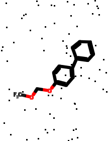 FC(F)(F)OCOc1ccc(-c2ccccc2)cc1